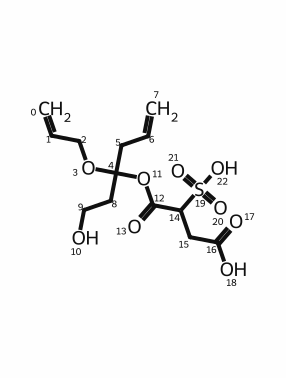 C=CCOC(CC=C)(CCO)OC(=O)C(CC(=O)O)S(=O)(=O)O